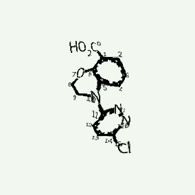 O=C(O)c1cccc2c1OCCN2c1ccc(Cl)nn1